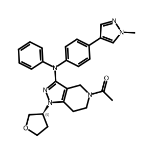 CC(=O)N1CCc2c(c(N(c3ccccc3)c3ccc(-c4cnn(C)c4)cc3)nn2[C@H]2CCOC2)C1